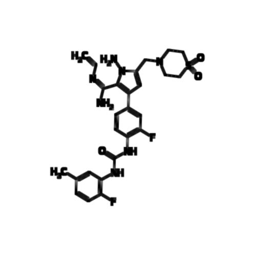 C=C/N=C(/N)c1c(-c2ccc(NC(=O)Nc3cc(C)ccc3F)c(F)c2)cc(CN2CCS(=O)(=O)CC2)n1N